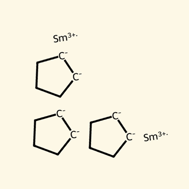 [CH-]1[CH-]CCC1.[CH-]1[CH-]CCC1.[CH-]1[CH-]CCC1.[Sm+3].[Sm+3]